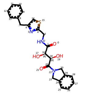 O=C(NCc1nc(Cc2ccccc2)cs1)[C@H](O)[C@@H](O)C(=O)N1Cc2ccccc2C1